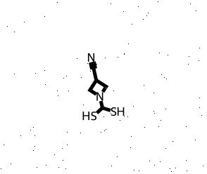 N#CC1CN(C(S)S)C1